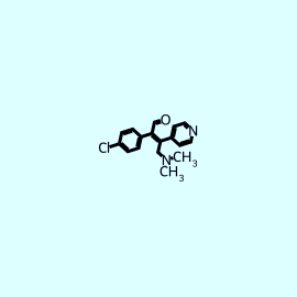 CN(C)CC(=C(C=O)c1ccc(Cl)cc1)c1ccncc1